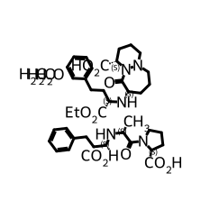 CCOC(=O)[C@H](CCc1ccccc1)N[C@H]1CCCN2CCC[C@@H](C(=O)O)N2C1=O.C[C@H](N[C@@H](CCc1ccccc1)C(=O)O)C(=O)N1CCC[C@H]1C(=O)O.O.O.O